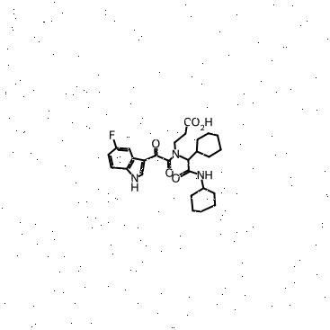 O=C(O)CCN(C(=O)C(=O)c1c[nH]c2ccc(F)cc12)C(C(=O)NC1CCCCC1)C1CCCCC1